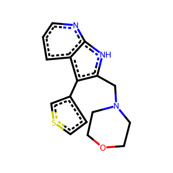 c1cnc2[nH]c(CN3CCOCC3)c(-c3ccsc3)c2c1